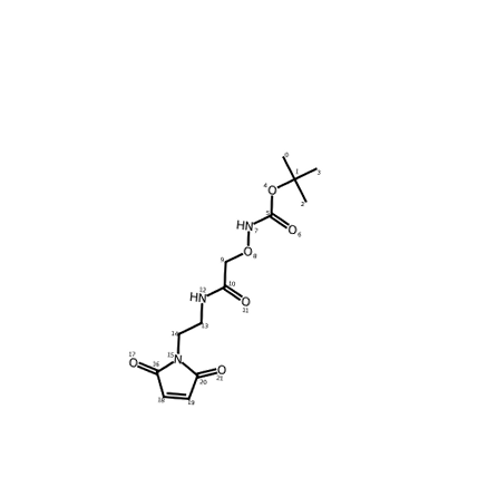 CC(C)(C)OC(=O)NOCC(=O)NCCN1C(=O)C=CC1=O